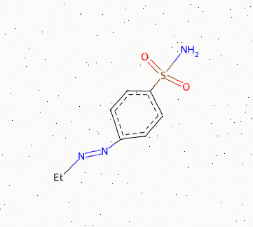 CC/N=N/c1ccc(S(N)(=O)=O)cc1